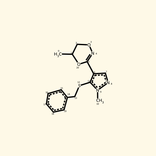 CC1CON=C(c2cnn(C)c2SCc2ccccc2)O1